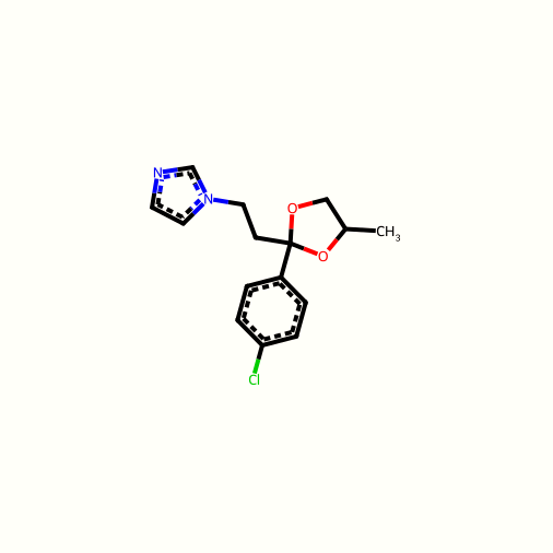 CC1COC(CCn2ccnc2)(c2ccc(Cl)cc2)O1